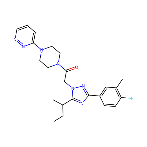 CCC(C)c1nc(-c2ccc(F)c(C)c2)nn1CC(=O)N1CCN(c2cccnn2)CC1